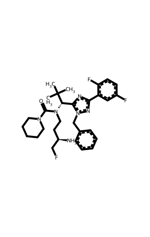 CC(C)(C)[C@H](c1nc(-c2cc(F)ccc2F)nn1Cc1ccccc1)N(CC[C@@H](N)CF)C(=O)N1CCCCC1